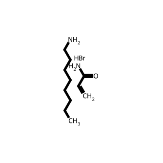 Br.C=CC(N)=O.CCCCCCCCN